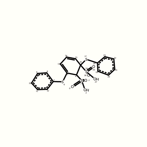 O=S(=O)(O)C1C(Sc2ccccc2)=CC=CC1(Sc1ccccc1)S(=O)(=O)O